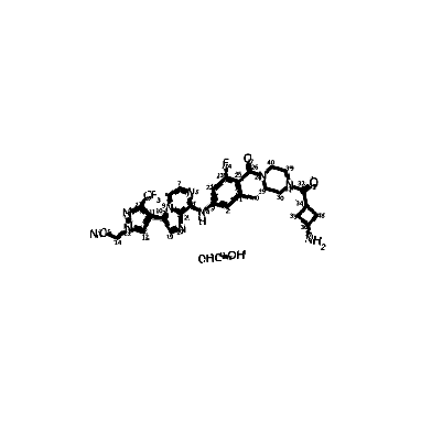 Cc1cc(Nc2nccn3c(-c4cn(CC#N)nc4C(F)(F)F)cnc23)cc(F)c1C(=O)N1CCN(C(=O)C2CC(N)C2)CC1.O=CO